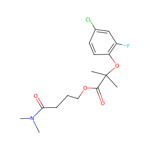 CN(C)C(=O)CCCOC(=O)C(C)(C)Oc1ccc(Cl)cc1F